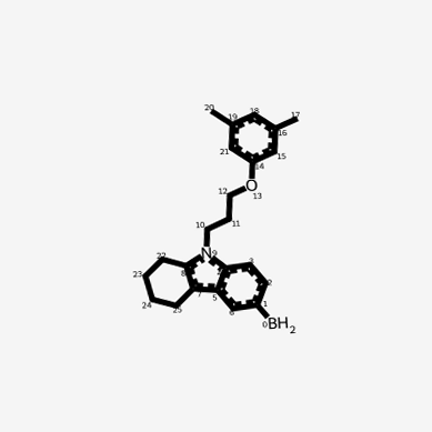 Bc1ccc2c(c1)c1c(n2CCCOc2cc(C)cc(C)c2)CCCC1